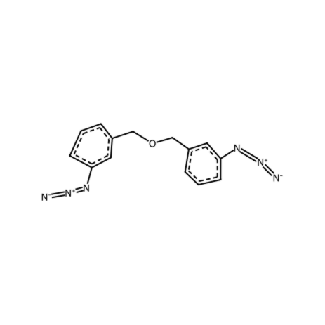 [N-]=[N+]=Nc1cccc(COCc2cccc(N=[N+]=[N-])c2)c1